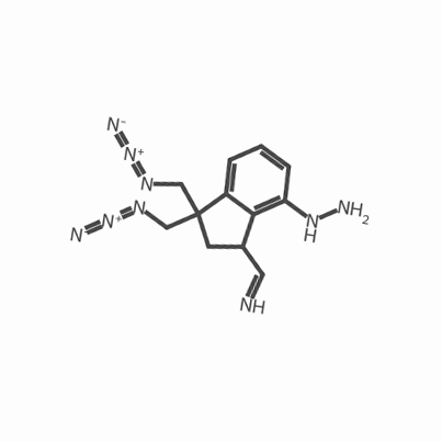 [N-]=[N+]=NCC1(CN=[N+]=[N-])CC(C=N)c2c(NN)cccc21